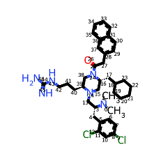 CN(C)[C@H](Cc1ccc(Cl)cc1Cl)CN1C[C@@H](CC2CCCCC2)N(C(=O)Cc2ccc3ccccc3c2)C[C@@H]1CCCNC(=N)N